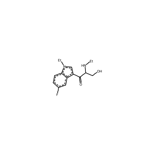 CCNC(CO)C(=O)c1cn(CC)c2ccc(F)cc12